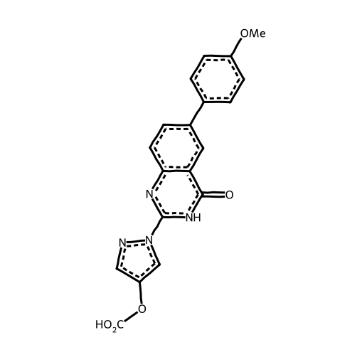 COc1ccc(-c2ccc3nc(-n4cc(OC(=O)O)cn4)[nH]c(=O)c3c2)cc1